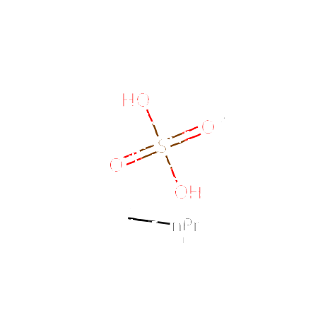 CCCC.O=S(=O)(O)O